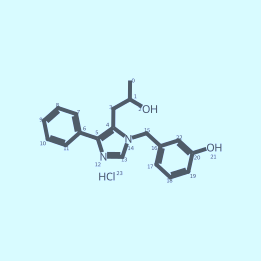 CC(O)Cc1c(-c2ccccc2)ncn1Cc1cccc(O)c1.Cl